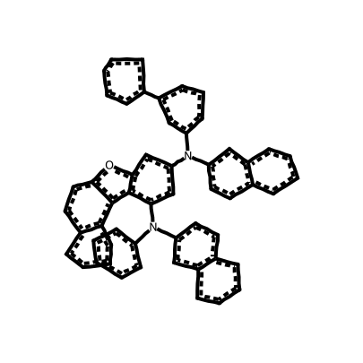 c1ccc(-c2cccc(N(c3ccc4ccccc4c3)c3cc(N(c4ccccc4)c4ccc5ccccc5c4)c4c(c3)oc3ccc5ccccc5c34)c2)cc1